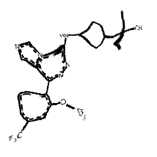 CC(C)(O)C1CC(Nc2nnc(-c3ccc(C(F)(F)F)cc3OC(F)(F)F)c3cncn23)C1